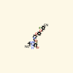 N#CCC1(CNc2cc(Br)cc(F)c2NC(=O)CN2CCC(Oc3cccc(OCc4ccc(C#N)cc4F)c3)CC2)CC1